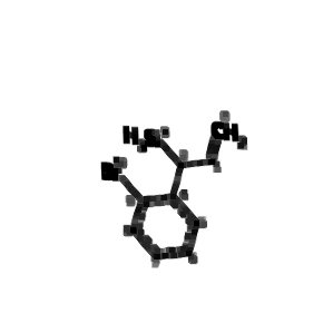 C=CC([SiH3])c1ccccc1Br